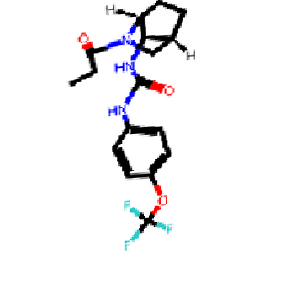 CCC(=O)N1C[C@H]2CC[C@@H]1C2NC(=O)Nc1ccc(OC(F)(F)F)cc1